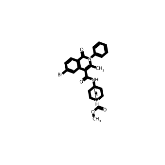 COC(=O)[PH]12CCC(NC(=O)c3c(C)n(-c4ccccc4)c(=O)c4ccc(Br)cc34)(CC1)CC2